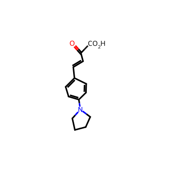 O=C(O)C(=O)C=Cc1ccc(N2CCCC2)cc1